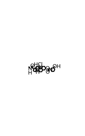 CNC(=O)C1CC[C@H]2[C@@H]3CCC4CC(OC(=O)N5CCCC(O)C5)CC[C@]4(C)[C@H]3CC[C@]12C.Cl